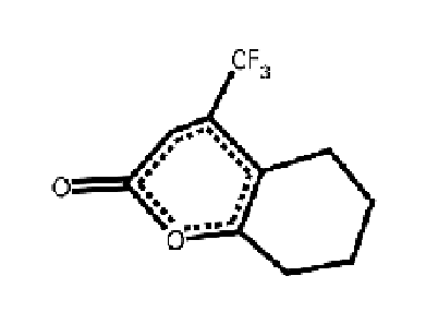 O=c1cc(C(F)(F)F)c2c(o1)CCCC2